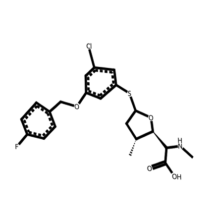 CNC(C(=O)O)[C@@H]1OC(Sc2cc(Cl)cc(OCc3ccc(F)cc3)c2)C[C@H]1C